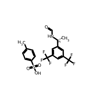 C[C@@H](NC=O)c1cc(C(F)(F)F)cc(C(F)(F)F)c1.Cc1ccc(S(=O)(=O)O)cc1